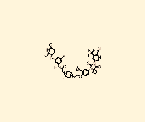 C[C@@H]1CN(CCOc2ccc(N3C(=S)N(c4cnc(C#N)c(C(F)(F)F)c4)C(=O)C34CCC4)cc2C2CC2)C[C@H](C)N1CC(=O)Nc1cc(F)cc(NC2CCC(=O)NC2=O)c1